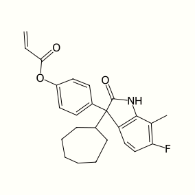 C=CC(=O)Oc1ccc(C2(C3CCCCCC3)C(=O)Nc3c2ccc(F)c3C)cc1